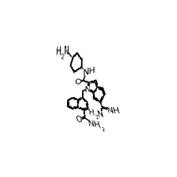 N=C(N)c1ccc2cc(C(=O)N[C@H]3CC[C@H](N)CC3)n(Cc3ccc(C(N)=O)c4ccccc34)c2c1